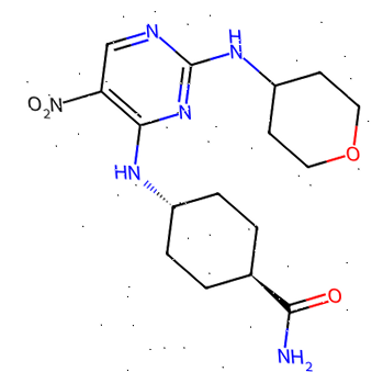 NC(=O)[C@H]1CC[C@H](Nc2nc(NC3CCOCC3)ncc2[N+](=O)[O-])CC1